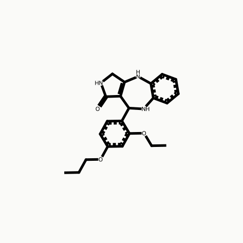 CCCOc1ccc(C2Nc3ccccc3NC3=C2C(=O)NC3)c(OCC)c1